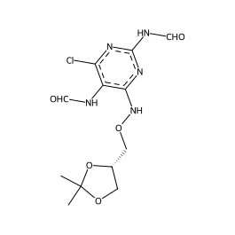 CC1(C)OC[C@@H](CONc2nc(NC=O)nc(Cl)c2NC=O)O1